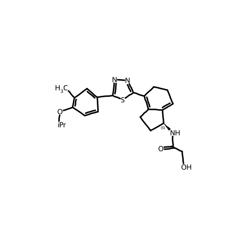 Cc1cc(-c2nnc(C3=C4CC[C@H](NC(=O)CO)C4=CCC3)s2)ccc1OC(C)C